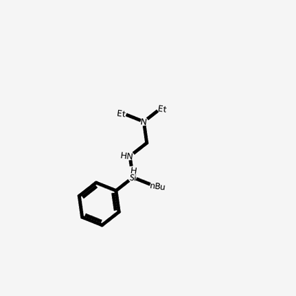 CCCC[SiH](NCN(CC)CC)c1ccccc1